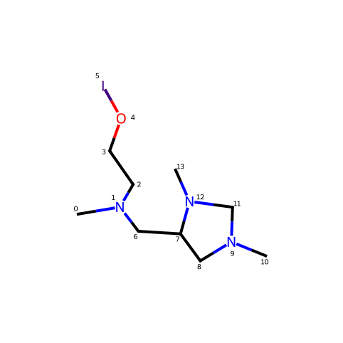 CN(CCOI)CC1CN(C)CN1C